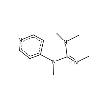 C/N=C(\N(C)C)N(C)c1ccncc1